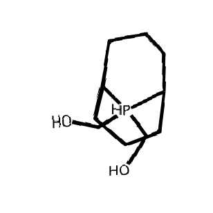 OC[PH]1(CO)C2CCCC1CCC2